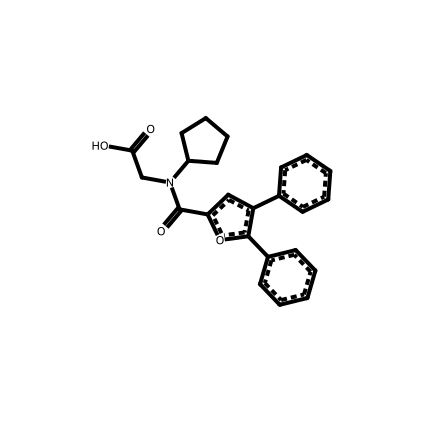 O=C(O)CN(C(=O)c1cc(-c2ccccc2)c(-c2ccccc2)o1)C1CCCC1